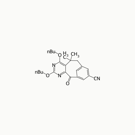 CCCCOc1nc(OCCCC)c2c(n1)C(=O)c1cc(C#N)cc(c1)CC2(C)C